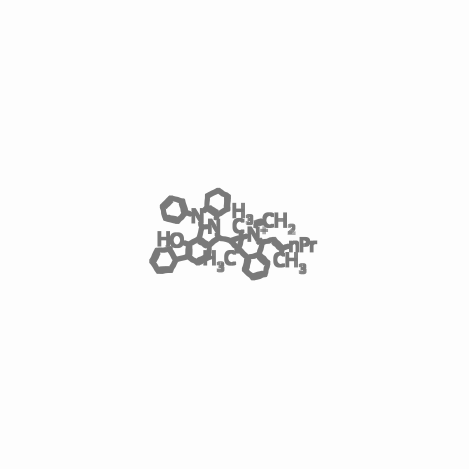 C=C[N+]1=C(/C=C(\C)CCC)c2ccccc2C2(C)C(C3c4ccc5c(c4C4N(c6ccccc6)C6=C(C=CCC6)N34)O[C@H]3C=CC=CC53)C12C